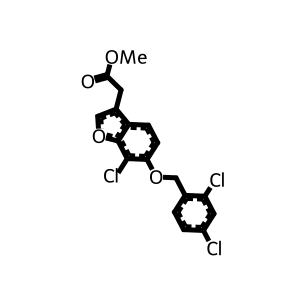 COC(=O)Cc1coc2c(Cl)c(OCc3ccc(Cl)cc3Cl)ccc12